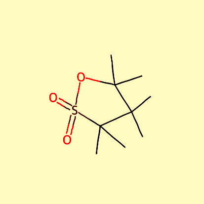 CC1(C)OS(=O)(=O)C(C)(C)C1(C)C